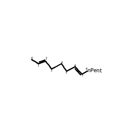 CC=CCCCC=CCCCCC